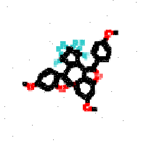 COc1ccc(-c2oc3cc(OC)ccc3c2C2=C(c3c(C)oc4cc(OC)ccc34)C(F)(F)C(F)(F)C2(F)F)cc1